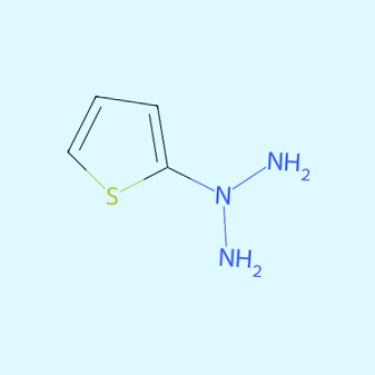 NN(N)c1cccs1